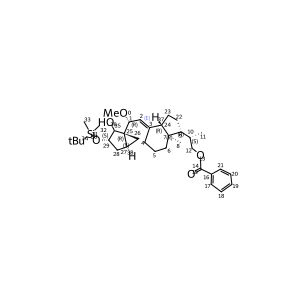 CO[C@H](/C=C1\CCC[C@]2(C)[C@@H]([C@H](C)COC(=O)c3ccccc3)CC[C@@H]12)[C@]12C[C@H]1C[C@H](O[Si](C)(C)C(C)(C)C)C2O